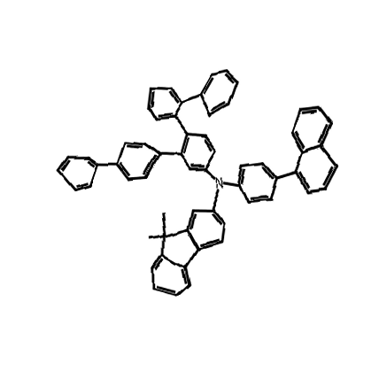 CC1(C)c2ccccc2-c2ccc(N(c3ccc(-c4cccc5ccccc45)cc3)c3ccc(-c4ccccc4-c4ccccc4)c(-c4ccc(-c5ccccc5)cc4)c3)cc21